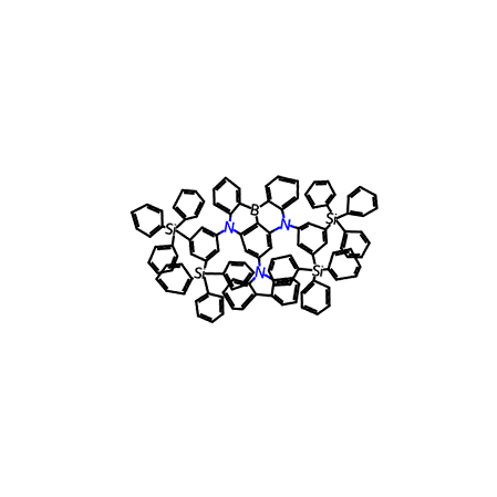 c1ccc([Si](c2ccccc2)(c2ccccc2)c2cc(N3c4ccccc4B4c5ccccc5N(c5cc([Si](c6ccccc6)(c6ccccc6)c6ccccc6)cc([Si](c6ccccc6)(c6ccccc6)c6ccccc6)c5)c5cc(-n6c7ccccc7c7ccccc76)cc3c54)cc([Si](c3ccccc3)(c3ccccc3)c3ccccc3)c2)cc1